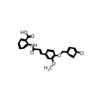 COc1cc(/C=C/C(=O)Nc2ccccc2C(=O)O)ccc1OCc1ccc(Cl)cc1